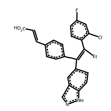 CC/C(=C(/c1ccc(C=CC(=O)O)cc1)c1ccc2[nH]ncc2c1)c1ccc(F)cc1Cl